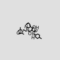 CC1=COCC(C)N1CCn1c(=O)c(C(=O)NC2CCC(C)CC2)c(O)c2cccnc21